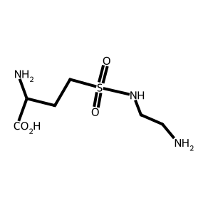 NCCNS(=O)(=O)CCC(N)C(=O)O